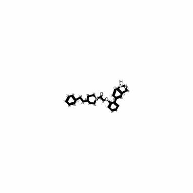 O=C(COc1ccccc1-c1ccc2[nH]ncc2c1)N1CCC(CCc2ccccc2)CC1